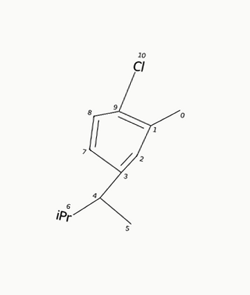 Cc1cc(C(C)C(C)C)ccc1Cl